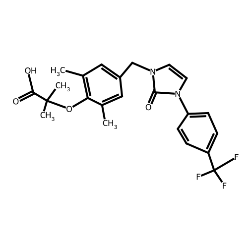 Cc1cc(Cn2ccn(-c3ccc(C(F)(F)F)cc3)c2=O)cc(C)c1OC(C)(C)C(=O)O